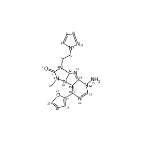 CN1C(=O)N(CCn2cccn2)C2N=C3C(=C(c4ccco4)N=CN3N)N21